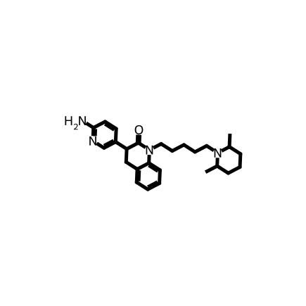 CC1CCCC(C)N1CCCCCN1C(=O)C(c2ccc(N)nc2)Cc2ccccc21